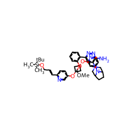 COCOc1ccccc1-c1cc(N2CC3CCC(C2)N3c2ccnc(O[C@H]3C[C@H](Oc4ccc(C=CCO[Si](C)(C)C(C)(C)C)nc4)C3)c2)c(N)nn1